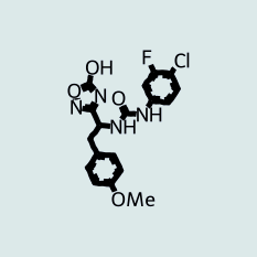 COc1ccc(CC(NC(=O)Nc2ccc(Cl)c(F)c2)c2noc(O)n2)cc1